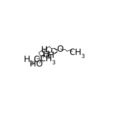 CCCCCOc1ccc2c(c1)CC[C@@H]1[C@@H]2CC[C@]2(C)[C@@H](C(C)CO)CC[C@@H]12